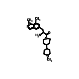 Cc1cc(CC(N)C(=O)N2CCC(C3CCN(C)CC3)CC2)cc2cnn(C)c12